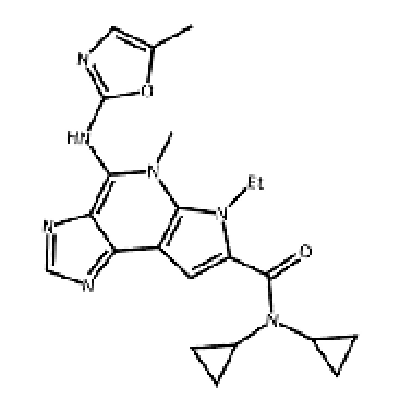 CCn1c(C(=O)N(C2CC2)C2CC2)cc2c3ncnc-3c(Nc3ncc(C)o3)n(C)c21